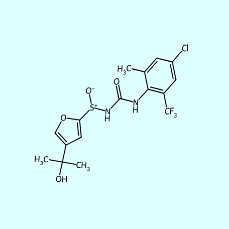 Cc1cc(Cl)cc(C(F)(F)F)c1NC(=O)N[S+]([O-])c1cc(C(C)(C)O)co1